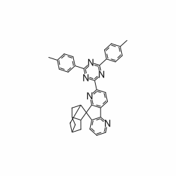 Cc1ccc(-c2nc(-c3ccc(C)cc3)nc(-c3ccc4c(n3)C3(c5cccnc5-4)C4CC5CC(C4)C3C5)n2)cc1